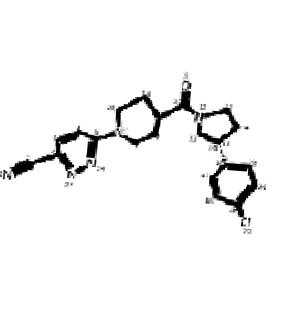 N#Cc1ccc(N2CCC(C(=O)N3CC[C@H](c4ccc(Cl)cc4)C3)CC2)nn1